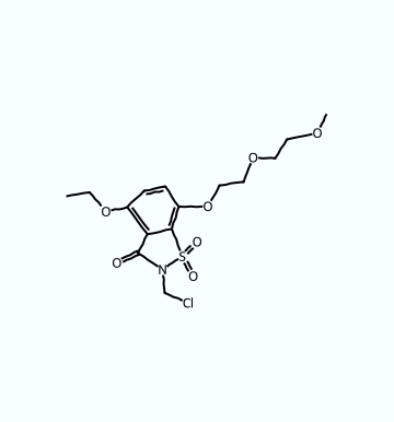 CCOc1ccc(OCCOCCOC)c2c1C(=O)N(CCl)S2(=O)=O